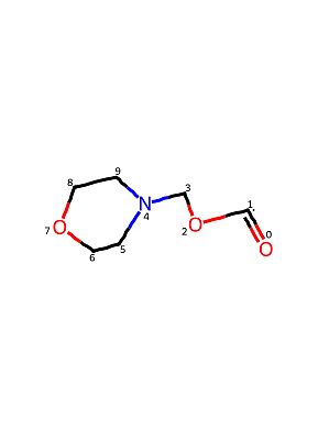 O=[C]OCN1CCOCC1